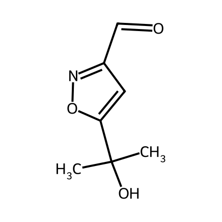 CC(C)(O)c1cc(C=O)no1